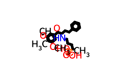 COc1cc(C(=O)C(CCc2ccccc2)NCCCC(C)P(=O)(O)O)cc(OC)c1C